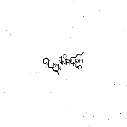 CCCCC[C@@H](CN(O)C=O)C(=O)NNc1nc(C)cc(CN2CCCC2)n1